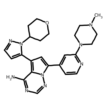 CN1CCN(c2cc(-c3cc(-c4ccnn4C4CCOCC4)c4c(N)ncnn34)ccn2)CC1